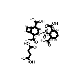 O=C(O)CCC(=O)O.O=C(O)c1ccc(C(=O)O)c2c1CC2.O=C(O)c1cccc(C(=O)O)c1S(=O)(=O)O